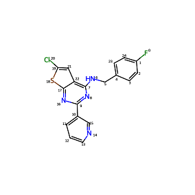 Fc1ccc(CNc2nc(-c3cccnc3)nc3sc(Cl)cc23)cc1